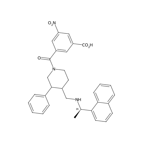 C[C@@H](NCC1CCN(C(=O)c2cc(C(=O)O)cc([N+](=O)[O-])c2)CC1c1ccccc1)c1cccc2ccccc12